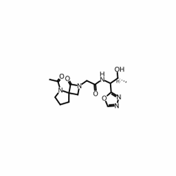 CC(=O)N1CCCC12CN(CC(=O)NC(c1nnco1)[C@@H](C)O)C2=O